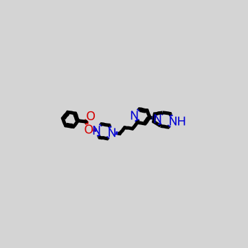 O=C(ON1CCN(CCCc2cc(N3C4CCC3CNC4)ccn2)CC1)c1ccccc1